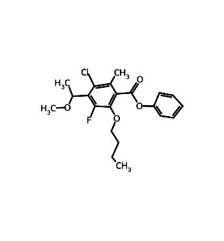 CCCCOc1c(F)c(C(C)OC)c(Cl)c(C)c1C(=O)Oc1ccccc1